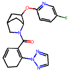 O=C(C1=C(n2nccn2)CCC=C1)N1CC2CC(Oc3ccc(F)cn3)C1C2